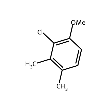 COc1ccc(C)c(C)c1Cl